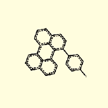 Ic1ccc(-c2ccc3cccc4c5cccc6cccc(c2c34)c65)cc1